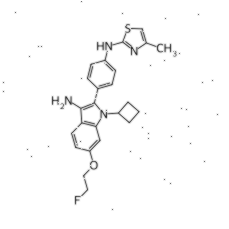 Cc1csc(Nc2ccc(-c3c(N)c4ccc(OCCF)cc4n3C3CCC3)cc2)n1